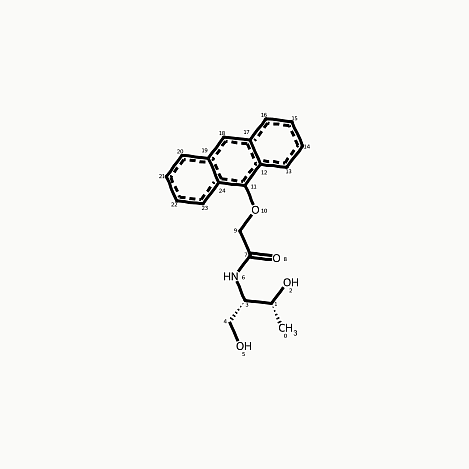 C[C@@H](O)[C@H](CO)NC(=O)COc1c2ccccc2cc2ccccc12